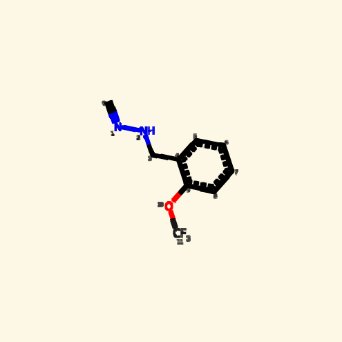 C=NNCc1ccccc1OC(F)(F)F